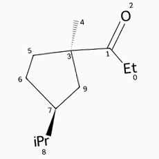 CCC(=O)[C@]1(C)CC[C@H](C(C)C)C1